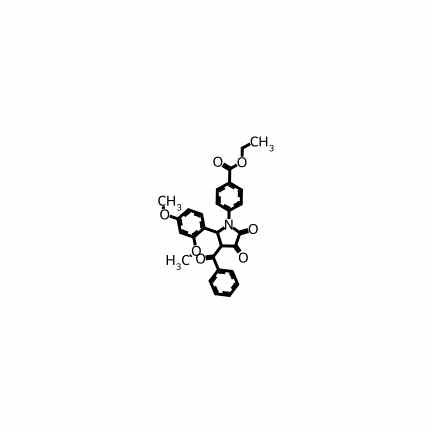 CCOC(=O)c1ccc(N2C(=O)C(=O)C(C(=O)c3ccccc3)C2c2ccc(OC)cc2OC)cc1